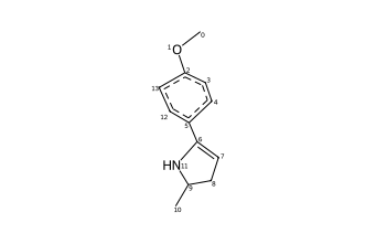 COc1ccc(C2=CCC(C)N2)cc1